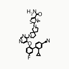 CN1C(C(N)=O)=CSC1N1CCC2(CCN(c3ncncc3Oc3ccc(F)cc3-c3ccc(C#N)cc3C3CC3)C2)C1